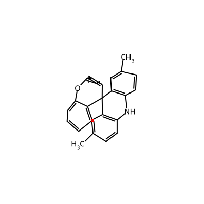 Cc1ccc2c(c1)C1(c3ccc#cc3Oc3ccccc31)c1cc(C)ccc1N2